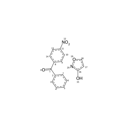 O=C(c1ccccc1)c1ccc([N+](=O)[O-])cc1.Oc1ccon1